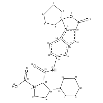 O=C1OC2(CCCCC2)n2c1cc1cc(NC(=O)[C@@H]3[C@H](C4CCCCC4)CCN3C(=O)O)ccc12